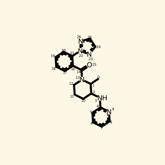 CC1C(Nc2ccccn2)CCCN1C(=O)c1ccccc1-n1nccn1